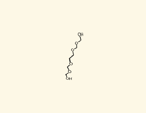 OCOCOCCOCOCO